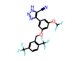 N#Cc1[nH]nnc1-c1cc(OCc2cc(C(F)(F)F)ccc2C(F)(F)F)cc(OC(F)F)c1